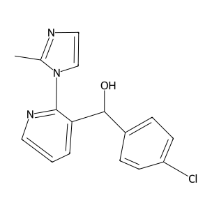 Cc1nccn1-c1ncccc1C(O)c1ccc(Cl)cc1